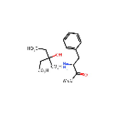 COC(=O)[C@@H](N)Cc1ccccc1.O=C(O)CC(O)(CC(=O)O)C(=O)O